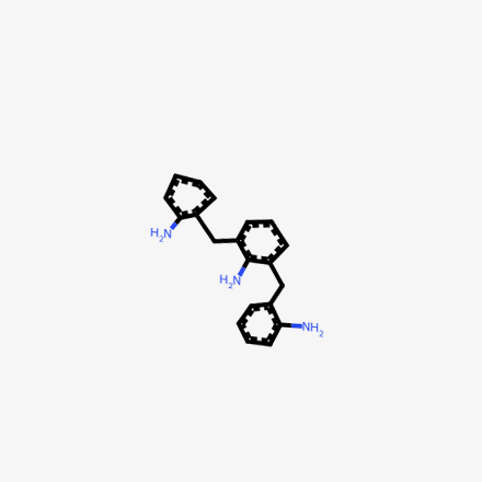 Nc1ccccc1Cc1cccc(Cc2ccccc2N)c1N